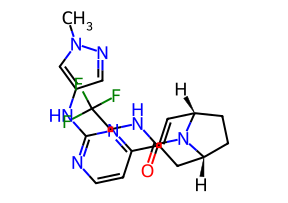 Cn1cc(Nc2nccc(C3=C[C@@H]4CC[C@H](C3)N4C(=O)NCC(F)(F)F)n2)cn1